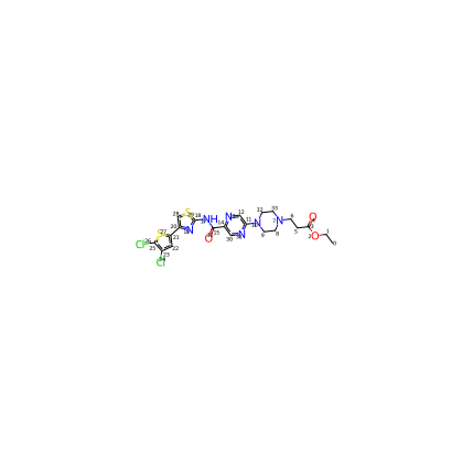 CCOC(=O)CCN1CCN(c2cnc(C(=O)Nc3nc(-c4cc(Cl)c(Cl)s4)cs3)cn2)CC1